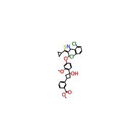 COC(=O)c1cccc(C2CC(O)(c3ccc(OCc4c(-c5c(Cl)cccc5Cl)nsc4C4CC4)cc3OC)C2)c1